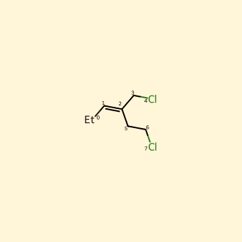 CCC=C(CCl)CCCl